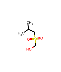 CC(C)CS(=O)(=O)CO